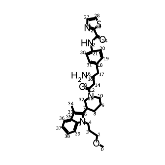 COCCCn1c(C2CCCN(C(=O)C[C@H](N)Cc3ccc(NC(=O)c4nccs4)cc3)C2)c(C)c2ccccc21